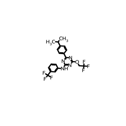 CC(C)c1ccc(-c2nc(Nc3cccc(C(F)(F)F)c3)nc(OCC(F)(F)F)n2)cc1